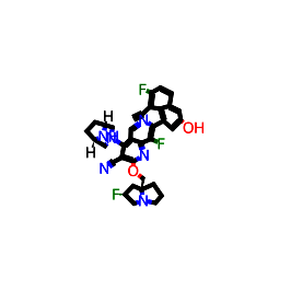 C#Cc1c(F)ccc2cc(O)cc(-c3ncc4c(N5C[C@H]6CC[C@@H](C5)N6)c(C#N)c(OC[C@@]56CCCN5C[C@H](F)C6)nc4c3F)c12